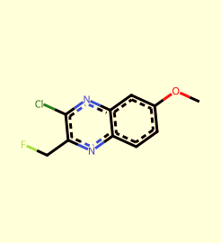 COc1ccc2nc(CF)c(Cl)nc2c1